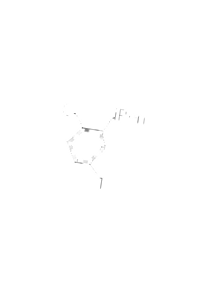 CCC[C](C)c1cc(F)ccc1Cl